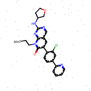 COCCn1c(=O)c(-c2ccc(-c3ccccn3)cc2Cl)cc2cnc(NC3CCOC3)nc21